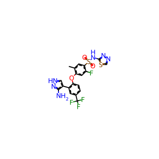 Cc1cc(S(=O)(=O)Nc2nncs2)c(F)cc1Oc1ccc(C(F)(F)F)cc1-c1c[nH]nc1N